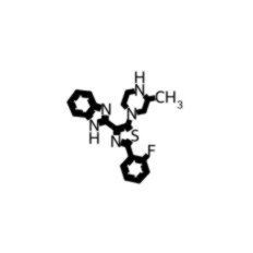 CC1CN(c2sc(-c3ccccc3F)nc2-c2nc3ccccc3[nH]2)CCN1